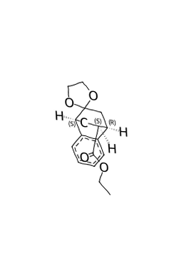 CCOC(=O)[C@H]1C[C@H]2c3ccccc3[C@@H]1CC21OCCO1